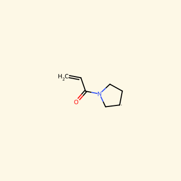 C=CC(=O)N1C[CH]CC1